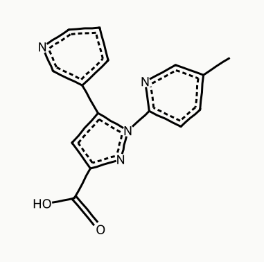 Cc1ccc(-n2nc(C(=O)O)cc2-c2cccnc2)nc1